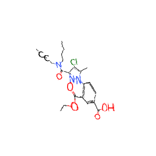 CCCCN(CCCC)C(=O)c1nn(-c2ccc(C(=O)O)cc2C(=O)OCC)c(C)c1Cl